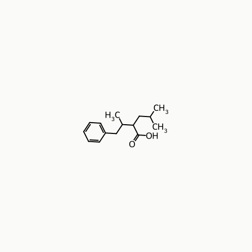 CC(C)CC(C(=O)O)C(C)Cc1ccccc1